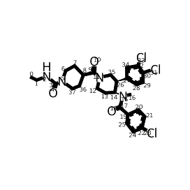 CCNC(=O)N1CCC(C(=O)N2CC[C@@H](N(C)C(=O)c3ccc(Cl)cc3)[C@H](c3ccc(Cl)c(Cl)c3)C2)CC1